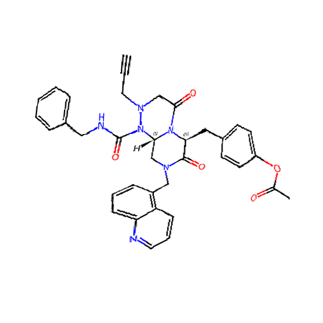 C#CCN1CC(=O)N2[C@@H](Cc3ccc(OC(C)=O)cc3)C(=O)N(Cc3cccc4ncccc34)C[C@@H]2N1C(=O)NCc1ccccc1